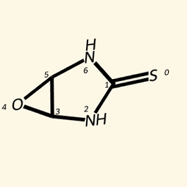 S=C1NC2OC2N1